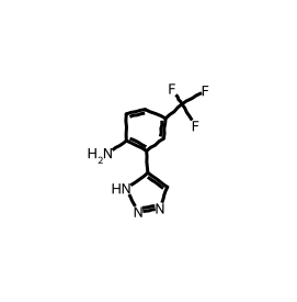 Nc1ccc(C(F)(F)F)cc1-c1cnn[nH]1